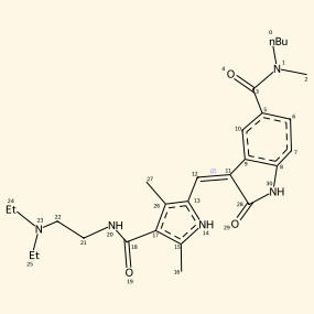 CCCCN(C)C(=O)c1ccc2c(c1)/C(=C/c1[nH]c(C)c(C(=O)NCCN(CC)CC)c1C)C(=O)N2